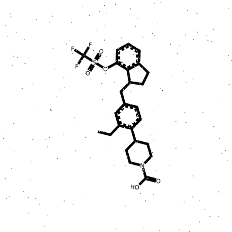 CCc1cc(CC2CCc3cccc(OS(=O)(=O)C(F)(F)F)c32)ccc1C1CCN(C(=O)O)CC1